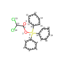 O=C(OS(c1ccccc1)(c1ccccc1)c1ccccc1)C(Cl)Cl